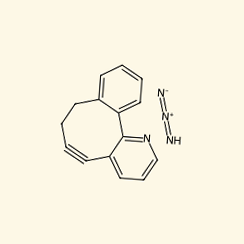 C1#Cc2cccnc2-c2ccccc2CC1.[N-]=[N+]=N